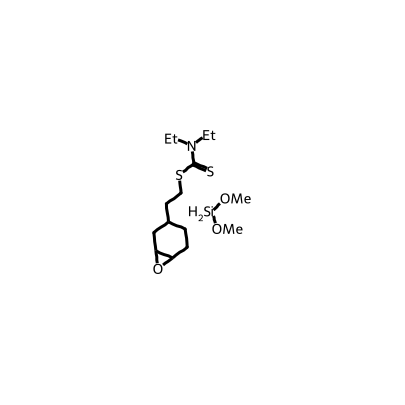 CCN(CC)C(=S)SCCC1CCC2OC2C1.CO[SiH2]OC